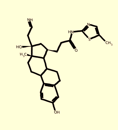 Cc1cnc(NC(=O)CC[C@@H]2C[C@@](O)(CC=N)[C@@]3(C)CCC4c5ccc(O)cc5CCC4C23)s1